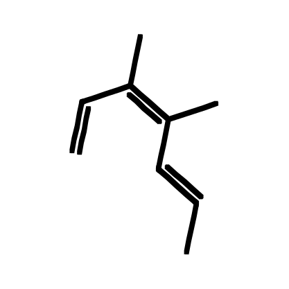 C=CC(C)=C(C)C=CC